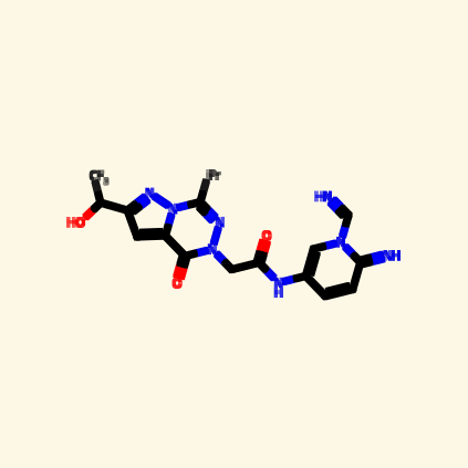 CC(C)c1nn(CC(=O)Nc2ccc(=N)n(C=N)c2)c(=O)c2cc(C(O)C(F)(F)F)nn12